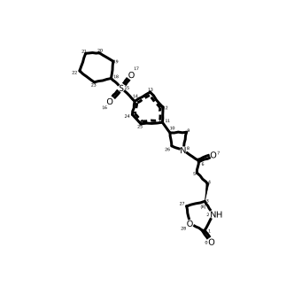 O=C1N[C@H](CCC(=O)N2CC(c3ccc(S(=O)(=O)C4CCCCC4)cc3)C2)CO1